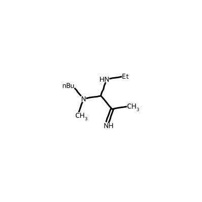 CCCCN(C)C(NCC)C(C)=N